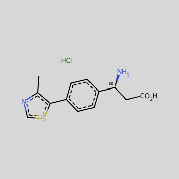 Cc1ncsc1-c1ccc([C@@H](N)CC(=O)O)cc1.Cl